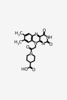 Cc1cc2nc3c(=O)[nH]c(=O)nc-3n(CC(=O)N3CCC(C(=O)O)CC3)c2cc1C